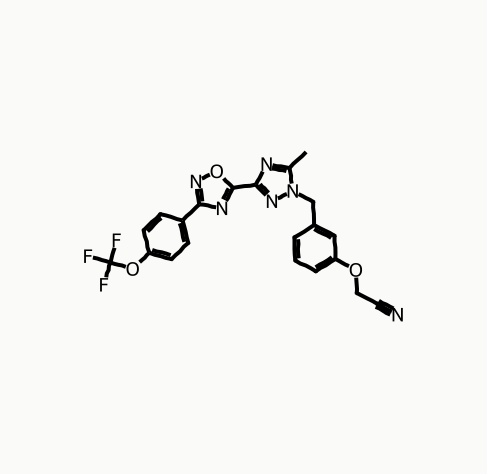 Cc1nc(-c2nc(-c3ccc(OC(F)(F)F)cc3)no2)nn1Cc1cccc(OCC#N)c1